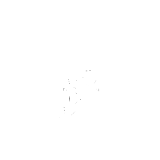 CCCCOC(=O)N1C[C@]2(C[C@H]1C(N)=O)C(=O)Nc1c3cc(Cl)ccc3nn12